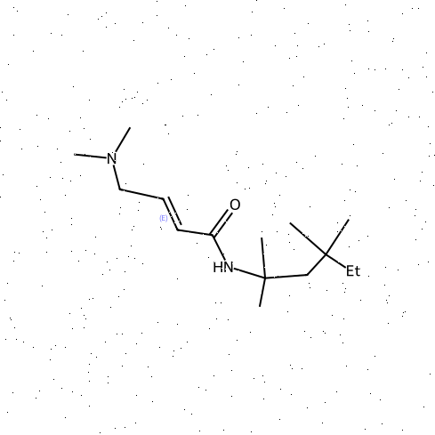 CCC(C)(C)CC(C)(C)NC(=O)/C=C/CN(C)C